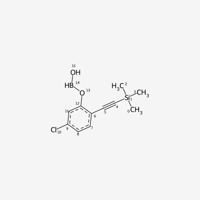 C[Si](C)(C)C#Cc1ccc(Cl)cc1OBO